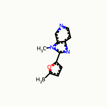 Bc1ccc(-c2nc3ccncc3n2C)o1